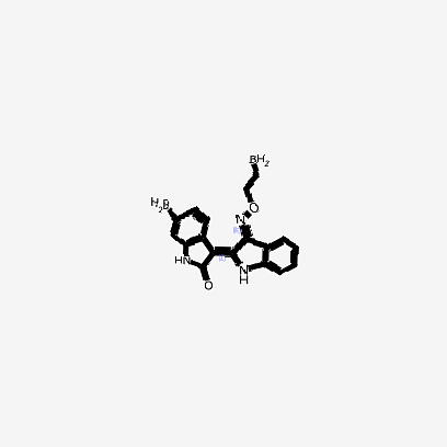 BCCO/N=C1/C(=C2/C(=O)Nc3cc(B)ccc32)Nc2ccccc21